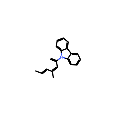 C=C(/C=C(C)\C=C\C)n1c2ccccc2c2ccccc21